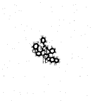 C1=C(c2ccccc2C2=NC(c3ccccc3)=NC(c3cccc4oc5ccccc5c34)N2)c2c(oc3cc4ccccc4cc23)NC1